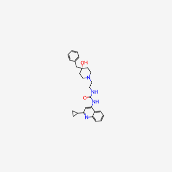 O=C(NCCN1CCC(O)(Cc2ccccc2)CC1)Nc1cc(C2CC2)nc2ccccc12